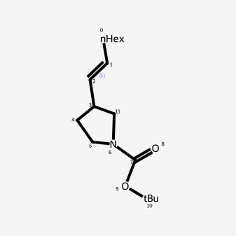 CCCCCC/C=C/C1CCN(C(=O)OC(C)(C)C)C1